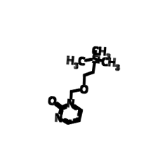 C[Si](C)(C)CCOCn1cccnc1=O